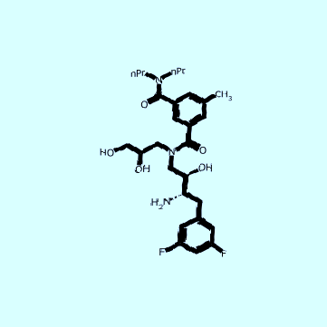 CCCN(CCC)C(=O)c1cc(C)cc(C(=O)N(CC(O)CO)C[C@@H](O)[C@@H](N)Cc2cc(F)cc(F)c2)c1